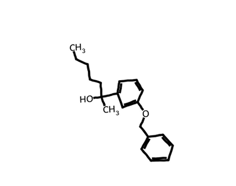 CCCCCC(C)(O)c1cccc(OCc2ccccc2)c1